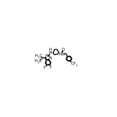 CN(C)c1nc(N[C@H]2CC[C@@H](C(=O)NCc3ccc(C(F)(F)F)cc3)CC2)nc2cc(F)c(F)cc12